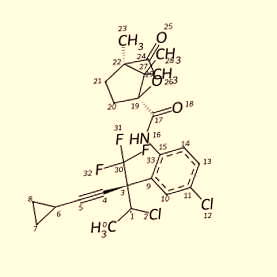 C[C](Cl)[C@@](C#CC1CC1)(c1cc(Cl)ccc1NC(=O)[C@@]12CC[C@@](C)(C(=O)O1)C2(C)C)C(F)(F)F